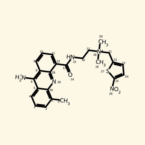 Cc1cccc2c(N)c3cccc(C(=O)NCC[N+](C)(C)Cc4ccc([N+](=O)[O-])s4)c3nc12